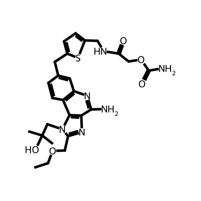 CCOCc1nc2c(N)nc3cc(Cc4ccc(CNC(=O)COC(N)=O)s4)ccc3c2n1CC(C)(C)O